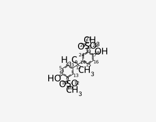 CC(C)(c1ccc(O)c(S(C)(=O)=O)c1)c1ccc(O)c(S(C)(=O)=O)c1